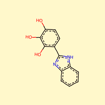 Oc1ccc(-c2nc3ccccc3[nH]2)c(O)c1O